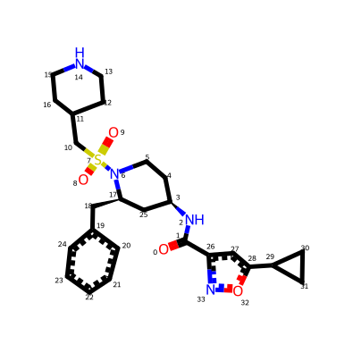 O=C(N[C@@H]1CCN(S(=O)(=O)CC2CCNCC2)[C@H](Cc2ccccc2)C1)c1cc(C2CC2)on1